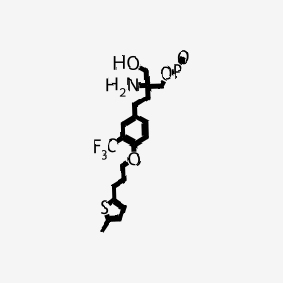 Cc1ccc(CCCOc2ccc(CCC(N)(CO)COP=O)cc2C(F)(F)F)s1